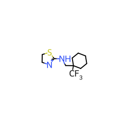 FC(F)(F)C1(CNC2=NCCS2)CCCCC1